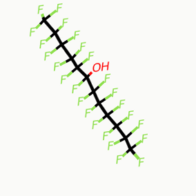 OC(F)(C(F)(F)C(F)(F)C(F)(F)C(F)(F)C(F)(F)F)C(F)(F)C(F)(F)C(F)(F)C(F)(F)C(F)(F)C(F)(F)F